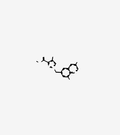 C=C(OCC)c1nn(Cc2cc(F)c3ncc(Cl)cc3c2)cc1C(=O)OCC